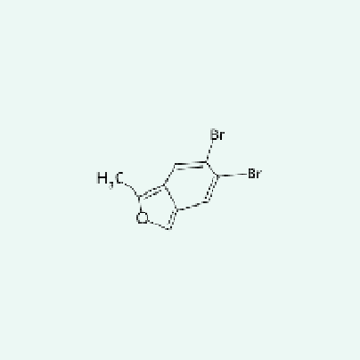 Cc1occ2cc(Br)c(Br)cc12